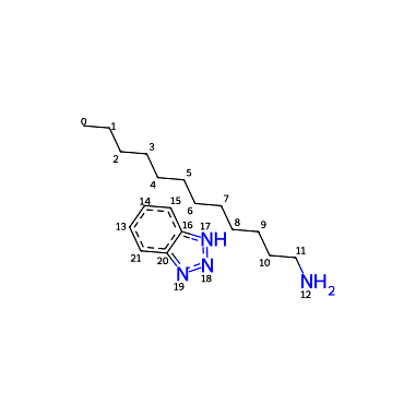 CCCCCCCCCCCCN.c1ccc2[nH]nnc2c1